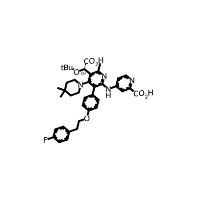 Cc1nc(Nc2ccnc(C(=O)O)c2)c(-c2ccc(OCCc3ccc(F)cc3)cc2)c(N2CCC(C)(C)CC2)c1[C@H](OC(C)(C)C)C(=O)O